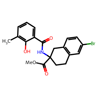 COC(=O)C1(NC(=O)c2cccc(C)c2O)CCc2cc(Br)ccc2C1